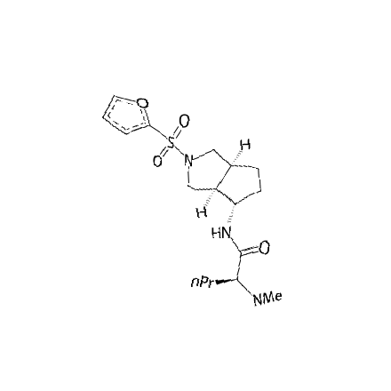 CCC[C@H](NC)C(=O)N[C@H]1CC[C@@H]2CN(S(=O)(=O)c3ccco3)C[C@@H]21